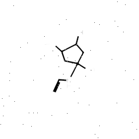 C=CNC1(CCC)CC(O)C(C=O)C1